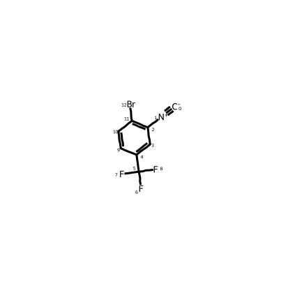 [C-]#[N+]c1cc(C(F)(F)F)ccc1Br